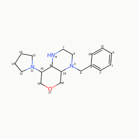 c1ccc(CN2CCNC3C(N4CCCC4)COCC32)cc1